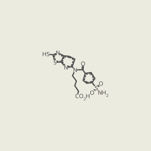 NS(=O)(=O)c1ccc(C(=O)N(CCCCC(=O)O)c2ccc3nc(S)sc3n2)cc1